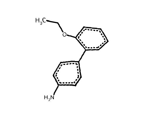 CCOc1ccccc1-c1ccc(N)cc1